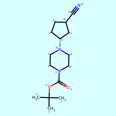 CC(C)(C)OC(=O)N1CCN([C@@H]2CCC(C#N)C2)CC1